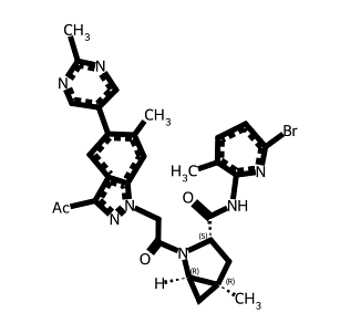 CC(=O)c1nn(CC(=O)N2[C@H](C(=O)Nc3nc(Br)ccc3C)C[C@@]3(C)C[C@@H]23)c2cc(C)c(-c3cnc(C)nc3)cc12